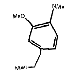 CNc1ccc(COC)cc1OC